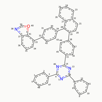 c1ccc(-c2nc(-c3ccccc3)nc(-c3ccc(-c4ccc5ccccc5c4-c4ccc(-c5cccc6ncoc56)cc4)cc3)n2)cc1